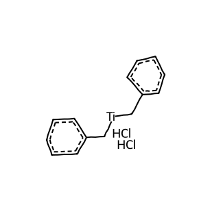 Cl.Cl.c1ccc([CH2][Ti][CH2]c2ccccc2)cc1